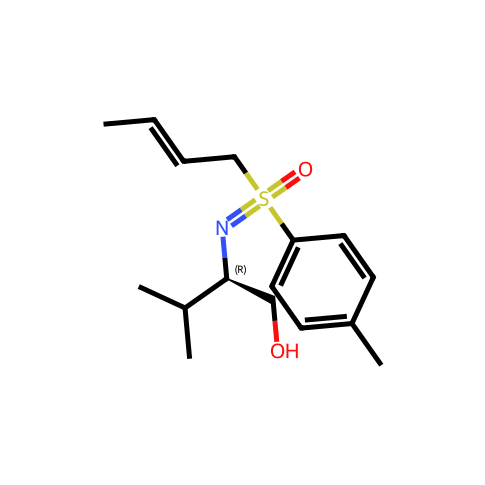 CC=CCS(=O)(=N[C@@H](CO)C(C)C)c1ccc(C)cc1